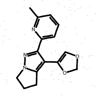 Cc1cccc(-c2nn3c(c2C2=COCO2)CCC3)n1